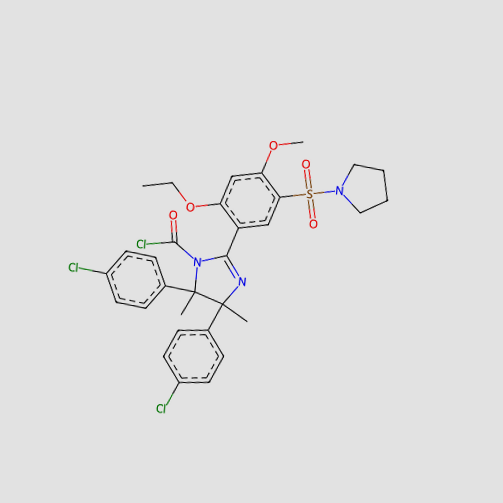 CCOc1cc(OC)c(S(=O)(=O)N2CCCC2)cc1C1=NC(C)(c2ccc(Cl)cc2)C(C)(c2ccc(Cl)cc2)N1C(=O)Cl